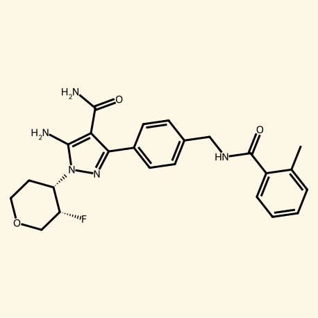 Cc1ccccc1C(=O)NCc1ccc(-c2nn([C@H]3CCOC[C@H]3F)c(N)c2C(N)=O)cc1